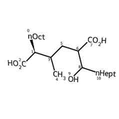 CCCCCCCC[C@H](C(=O)O)C(C)CC(C(=O)O)C(O)CCCCCCC